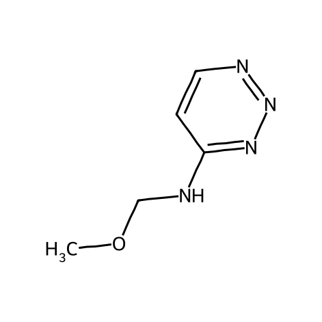 COCNc1ccnnn1